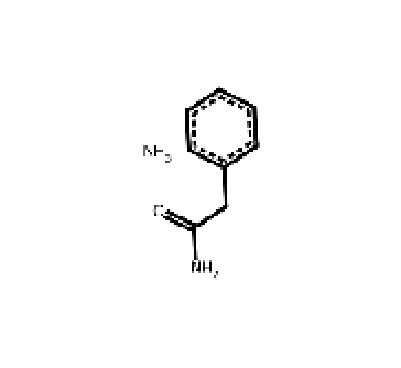 N.NC(=O)Cc1ccccc1